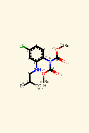 CCC(CNc1cc(Cl)ccc1N(C(=O)OC(C)(C)C)C(=O)OC(C)(C)C)C(=O)O